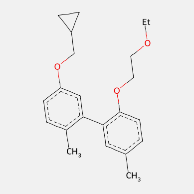 CCOCCOc1ccc(C)cc1-c1cc(OCC2CC2)ccc1C